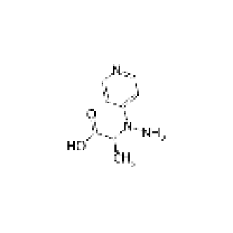 C[C@@H](C(=O)O)N(N)c1ccncc1